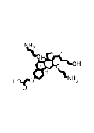 C[C@H](CCCO)[C@H]1CC[C@H]2C3[C@H](OCCCN)CC4C[C@H](OCC(=O)O)CC[C@]4(C)[C@H]3C[C@H](OCCCN)[C@]12C